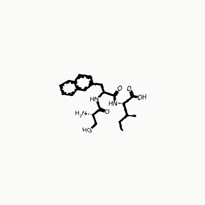 CC[C@H](C)[C@H](NC(=O)C(Cc1ccc2ccccc2c1)NC(=O)[C@@H](N)CO)C(=O)O